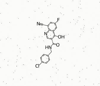 N#Cc1cc(F)cc2c(O)c(C(=O)NCc3ccc(Cl)cc3)cnc12